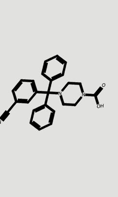 N#Cc1cccc(C(c2ccccc2)(c2ccccc2)N2CCN(C(=O)O)CC2)c1